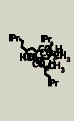 CC(C)CCC(C)CC(C(=O)O)C(O)(C(=O)O)C(CC(C)CCC(C)C)(CC(C)CCC(C)C)C(=O)O